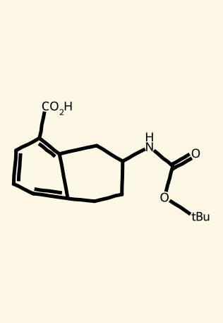 CC(C)(C)OC(=O)NC1CCc2cccc(C(=O)O)c2C1